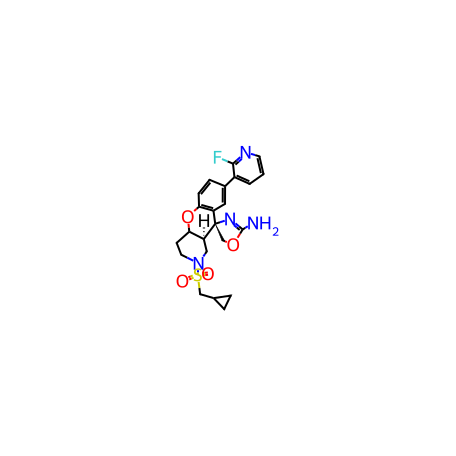 NC1=N[C@@]2(CO1)c1cc(-c3cccnc3F)ccc1OC1CCN(S(=O)(=O)CC3CC3)C[C@@H]12